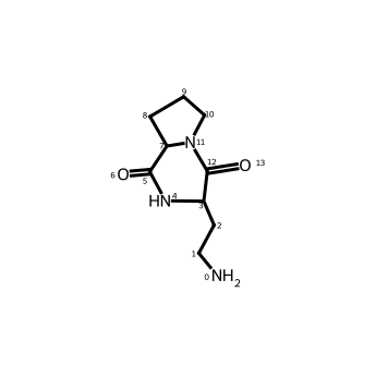 NCCC1NC(=O)C2CCCN2C1=O